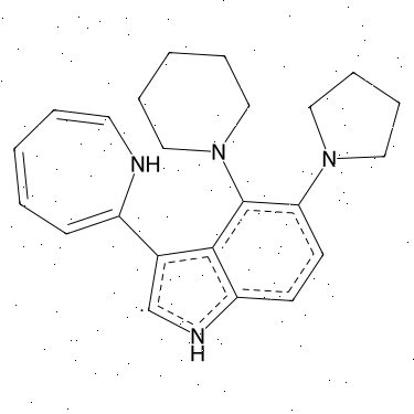 [c]1[nH]c2ccc(N3CCCC3)c(N3CCCCC3)c2c1C1=CC=CC=CN1